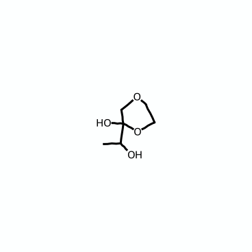 CC(O)C1(O)COCCO1